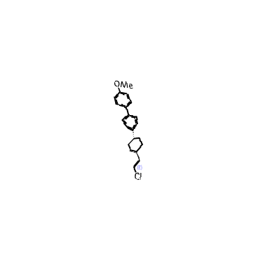 COc1ccc(-c2ccc([C@H]3CC[C@H](/C=C/Cl)CC3)cc2)cc1